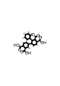 O=C(O)c1ccc(-c2ccc(C(=O)O)c(C(=O)O)c2-c2ccccc2)cc1C(=O)O